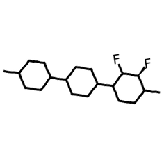 CC1CCC(C2CCC(C3CCC(C)[C@H](F)C3F)CC2)CC1